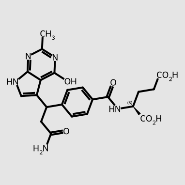 Cc1nc(O)c2c(C(CC(N)=O)c3ccc(C(=O)N[C@@H](CCC(=O)O)C(=O)O)cc3)c[nH]c2n1